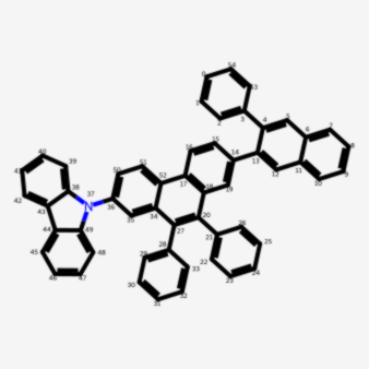 c1ccc(-c2cc3ccccc3cc2-c2ccc3c(c2)c(-c2ccccc2)c(-c2ccccc2)c2cc(-n4c5ccccc5c5ccccc54)ccc23)cc1